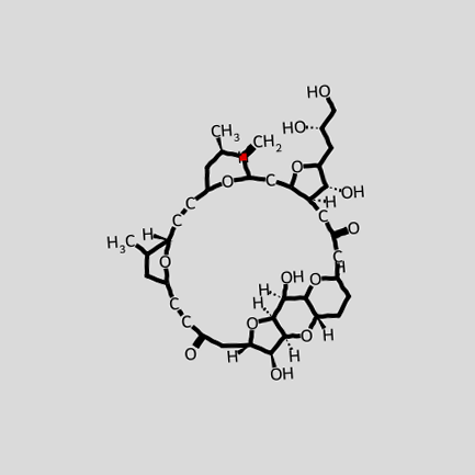 C=C1[C@H](C)CC2CC[C@@H]3OC(CCC(=O)C[C@@H]4O[C@@H]5[C@@H](O[C@H]6CC[C@H](CC(=O)C[C@H]7C(C[C@H]1O2)OC(C[C@H](O)CO)[C@@H]7O)OC6[C@@H]5O)[C@H]4O)CC3C